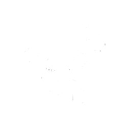 c1ccc(-c2ccc(N(c3ccc(-c4cccc5ccccc45)cc3)c3cc4ccccc4c4ccc5ccccc5c34)cc2)cc1